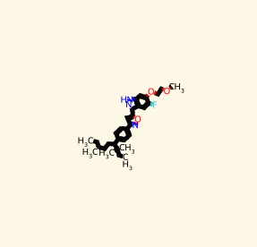 CCC(C)CCC(c1ccc(-c2cc(-c3n[nH]c4cc(OCCOC)c(F)cc34)on2)cc1)C(C)(C)CC